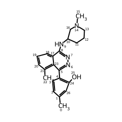 Cc1ccc(-c2nnc(NC3CCCN(C)C3)c3cccc(C)c23)c(O)c1